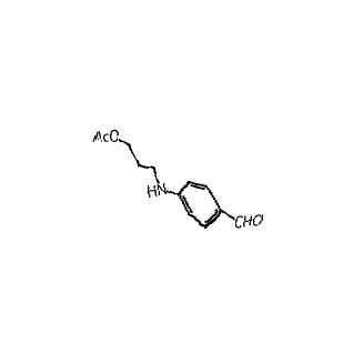 CC(=O)OCCCNc1ccc(C=O)cc1